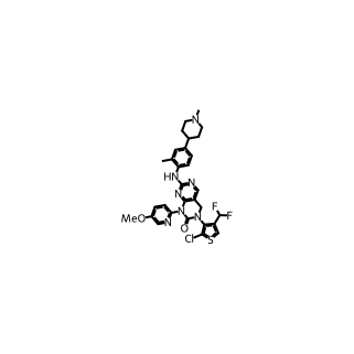 COc1ccc(N2C(=O)N(c3c(C(F)F)csc3Cl)Cc3cnc(Nc4ccc(C5CCN(C)CC5)cc4C)nc32)nc1